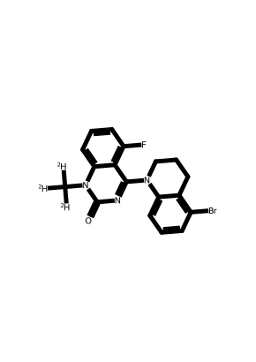 [2H]C([2H])([2H])n1c(=O)nc(N2CCCc3c(Br)cccc32)c2c(F)cccc21